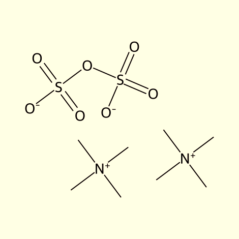 C[N+](C)(C)C.C[N+](C)(C)C.O=S(=O)([O-])OS(=O)(=O)[O-]